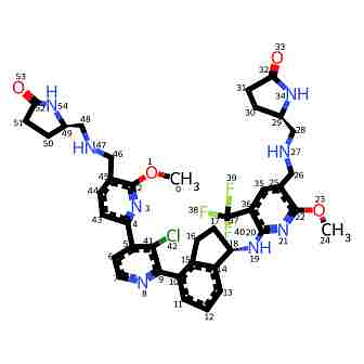 COc1nc(-c2ccnc(-c3cccc4c3CC[C@H]4Nc3nc(OC)c(CNC[C@H]4CCC(=O)N4)cc3C(F)(F)F)c2Cl)ccc1CNC[C@H]1CCC(=O)N1